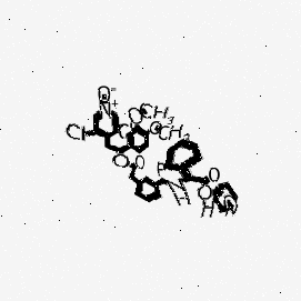 COc1ccc(C(Cc2c(Cl)c[n+]([O-])cc2Cl)OC(=O)Cc2cccc(CNC(C(=O)O[C@H]3CN4CCC3CC4)c3ccccc3F)c2)cc1OC